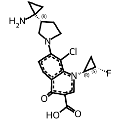 NC1([C@@H]2CCN(c3ccc4c(=O)c(C(=O)O)cn([C@@H]5C[C@@H]5F)c4c3Cl)C2)CC1